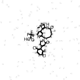 C[C@@H]1CCC[C@H](N2CCC(c3c(Cl)ccc(Cl)c3F)=CC2=O)c2cc(ccn2)-c2c(cnn2C)NC1=O.O=C(O)C(F)(F)F